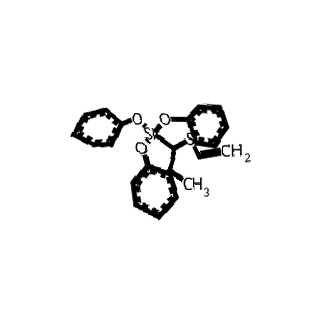 C=CSC(CC)[Si](Oc1ccccc1)(Oc1ccccc1)Oc1ccccc1